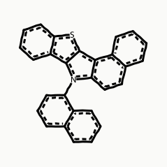 c1ccc2c(-n3c4ccc5ccccc5c4c4sc5ccccc5c43)cccc2c1